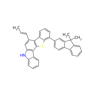 C/C=C/c1cc2[nH]c3ccccc3c2c2sc3c(-c4ccc5c(c4)C(C)(C)c4ccccc4-5)cccc3c12